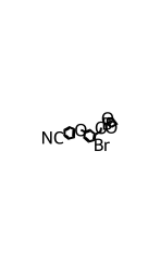 N#Cc1ccc(Oc2ccc(Br)c(COB3OCCO3)c2)cc1